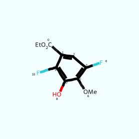 CCOC(=O)c1cc(F)c(OC)c(O)c1F